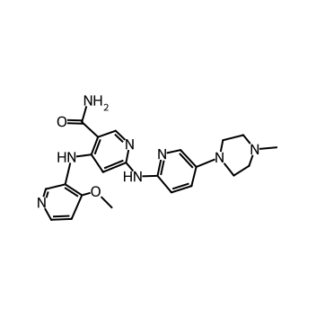 COc1ccncc1Nc1cc(Nc2ccc(N3CCN(C)CC3)cn2)ncc1C(N)=O